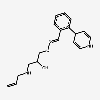 C=CCNCC(O)CON=Cc1ccccc1C1C=CNC=C1